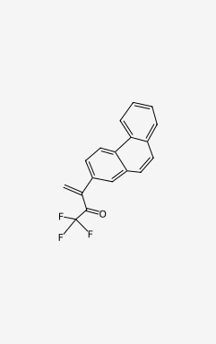 C=C(C(=O)C(F)(F)F)c1ccc2c(ccc3ccccc32)c1